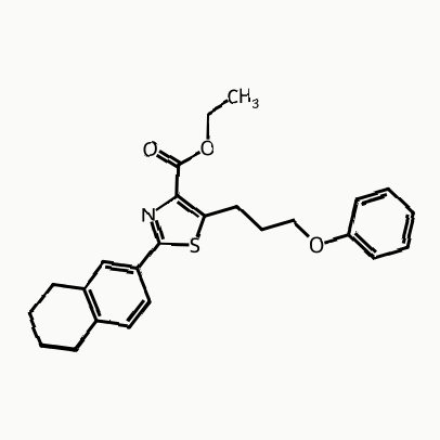 CCOC(=O)c1nc(-c2ccc3c(c2)CCCC3)sc1CCCOc1ccccc1